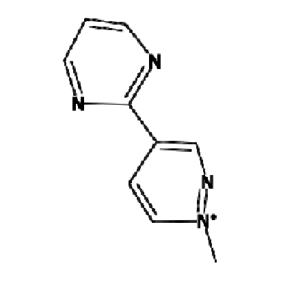 C[n+]1ccc(-c2ncccn2)cn1